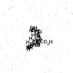 CC(NC(=O)Cn1cnnn1)[C@H]1C(=O)N2C(C(=O)O)=C(S[C@@H]3CN[C@H](C(=O)N4CCn5c(cnc5N)C4)C3)[C@H](C)[C@H]12